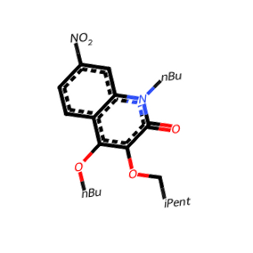 CCCCOc1c(OCC(C)CCC)c(=O)n(CCCC)c2cc([N+](=O)[O-])ccc12